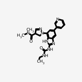 CCNC(=O)Nc1nc2cc(-c3cccnc3)cc(N3CC(C(=O)N(C)C)C=N3)c2[nH]1